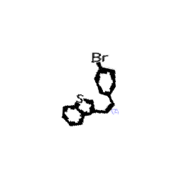 Brc1ccc(/C=C\c2csc3ccccc23)cc1